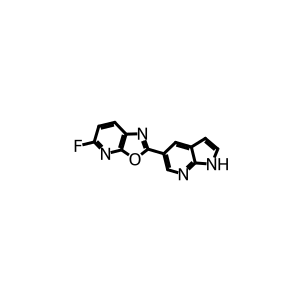 Fc1ccc2nc(-c3cnc4[nH]ccc4c3)oc2n1